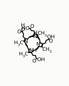 CC1=C(CCC(=O)O)C2=NC1=CC1NC(C=C3N=C(C=c4[nH]c(c(C)c4CCC(=O)O)=C2)C(CCC(=O)O)=C3C)C(C)=C1CCC(=O)O